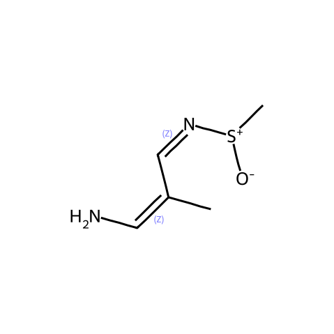 CC(/C=N\[S+](C)[O-])=C/N